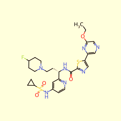 CCOc1cncc(-c2cnc(C(=O)N[C@@H](CCN3CCC(F)CC3)c3cc(NS(=O)(=O)C4CC4)ccn3)s2)n1